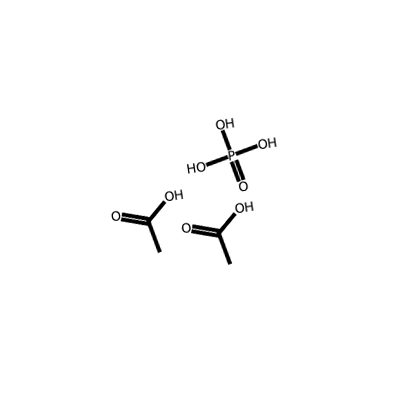 CC(=O)O.CC(=O)O.O=P(O)(O)O